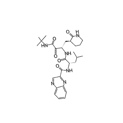 CC(C)C[C@H](NC(=O)c1cnc2ccccc2n1)C(=O)N[C@@H](C[C@@H]1CCCNC1=O)C(=O)C(=O)NC(C)(C)C